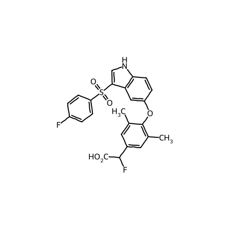 Cc1cc(C(F)C(=O)O)cc(C)c1Oc1ccc2[nH]cc(S(=O)(=O)c3ccc(F)cc3)c2c1